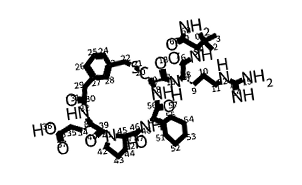 CC(C)(C)[C@H](NC(=O)[C@H](CCCNC(=N)N)NC(=O)[C@@H]1CSCc2cccc(c2)CC(=O)N[C@@H](CCC(=O)O)C(=O)N2CCC[C@H]2C(=O)NC(C2CCCCC2)C(=O)N1)C(N)=O